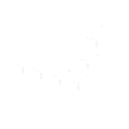 O=[Si](O)F.O=[Si](O)F.O=[Si](O)F.O=[Si](O)F.O=[Si](O)F.O=[Si](O)F.[KH]